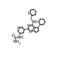 NC(=O)Nc1cncc(-c2nc(NCc3ccccn3)c3c(-c4ccccc4)ccn3n2)c1